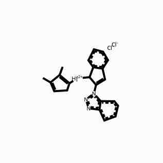 CC1=CC[C]([Hf+2][CH]2C(n3nnc4ccccc43)=Cc3ccccc32)=C1C.[Cl-].[Cl-]